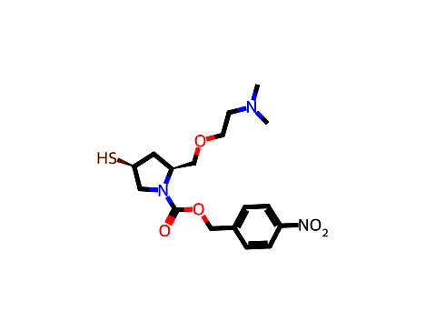 CN(C)CCOC[C@@H]1C[C@H](S)CN1C(=O)OCc1ccc([N+](=O)[O-])cc1